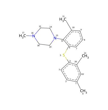 Cc1ccc(Sc2cccc(C)c2N2CCN(C)CC2)c(C)c1